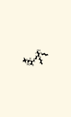 CCCCO[C@@H]([C@H](C)O)[C@H](CCOC[C@H](NC(=O)OC(C)(C)C)C(=O)O)OCCCC